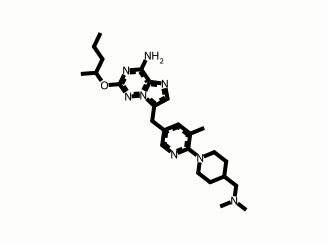 CCCC(C)Oc1nc(N)c2ncc(Cc3cnc(N4CCC(CN(C)C)CC4)c(C)c3)n2n1